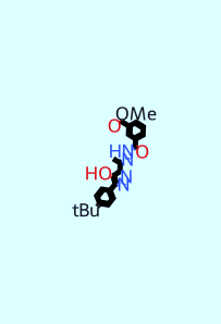 COC(=O)c1cccc(C(=O)N/N=C(\C)c2nn(C)c(-c3ccc(C(C)(C)C)cc3)c2O)c1